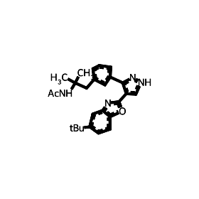 CC(=O)NC(C)(C)Cc1cccc(-c2n[nH]cc2-c2nc3cc(C(C)(C)C)ccc3o2)c1